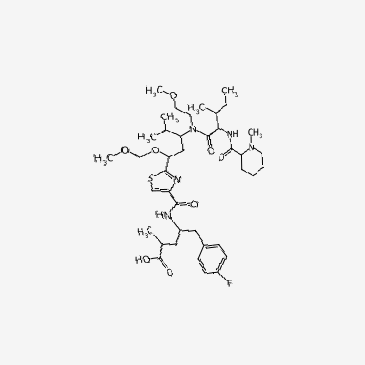 CCC(C)C(NC(=O)C1CCCCN1C)C(=O)N(CCOC)C(CC(OCOC)c1nc(C(=O)NC(Cc2ccc(F)cc2)CC(C)C(=O)O)cs1)C(C)C